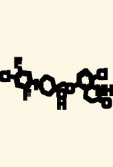 O=C1CCc2c(OCC3(O)CCN(c4cc(F)c(Cl)cc4F)CC3)ccc(Cl)c2N1